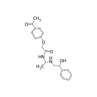 CC(=O)c1ccc(OCC(=O)NC(C)NCC(O)c2ccccc2)cc1